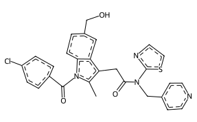 Cc1c(CC(=O)N(Cc2ccncc2)c2nccs2)c2cc(CO)ccc2n1C(=O)c1ccc(Cl)cc1